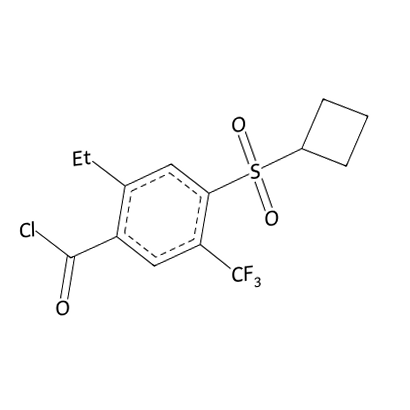 CCc1cc(S(=O)(=O)C2CCC2)c(C(F)(F)F)cc1C(=O)Cl